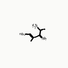 CCCC/C=C(\C)C(CCC)C(C)N